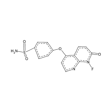 NS(=O)(=O)c1ccc(Oc2ccnc3c2ccc(=O)n3F)cc1